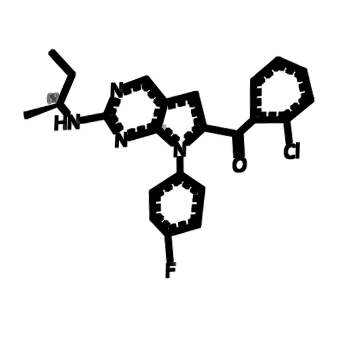 CC[C@H](C)Nc1ncc2cc(C(=O)c3ccccc3Cl)n(-c3ccc(F)cc3)c2n1